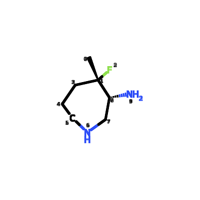 C[C@]1(F)CCCNC[C@H]1N